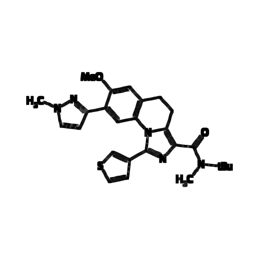 COc1cc2c(cc1-c1ccn(C)n1)-n1c(-c3ccsc3)nc(C(=O)N(C)C(C)(C)C)c1CC2